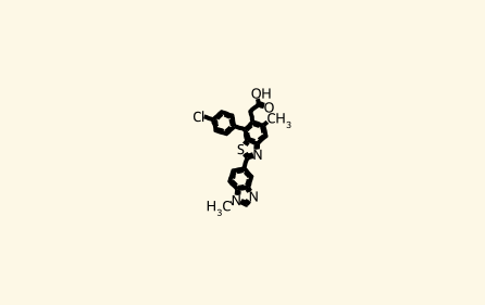 Cc1cc2nc(-c3ccc4c(c3)ncn4C)sc2c(-c2ccc(Cl)cc2)c1CC(=O)O